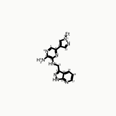 CCn1cc(-c2cnc(N)c(NCc3n[nH]c4ncccc34)n2)cn1